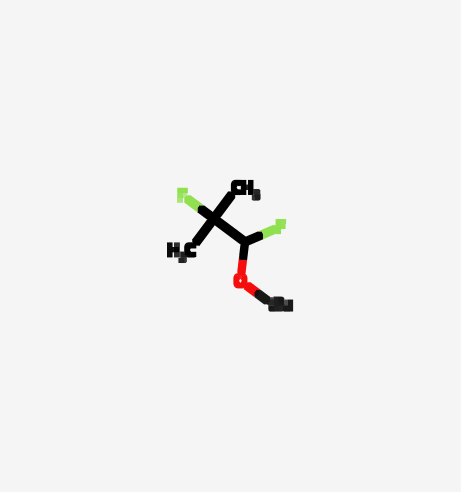 CC(C)(C)OC(F)C(C)(C)F